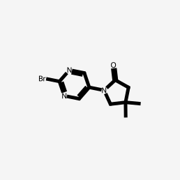 CC1(C)CC(=O)N(c2cnc(Br)nc2)C1